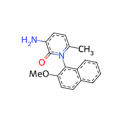 COc1ccc2ccccc2c1-n1c(C)ccc(N)c1=O